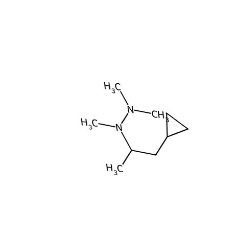 CC(CC1CC1)N(C)N(C)C